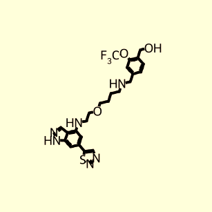 OCc1ccc(CNCCCCOCCNc2cc(-c3cnns3)cc3[nH]ncc23)cc1OC(F)(F)F